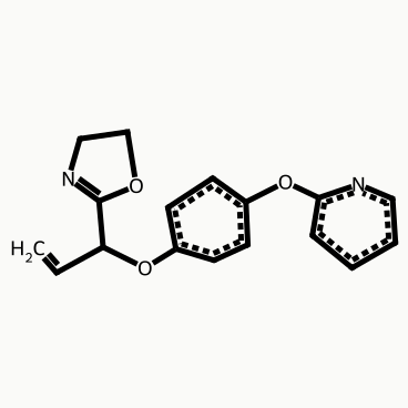 C=CC(Oc1ccc(Oc2ccccn2)cc1)C1=NCCO1